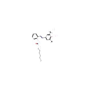 CCCCCCCNC(=O)Nc1ccccc1/C=C/c1cc(C(C)(C)C)c(O)c(C(C)(C)C)c1